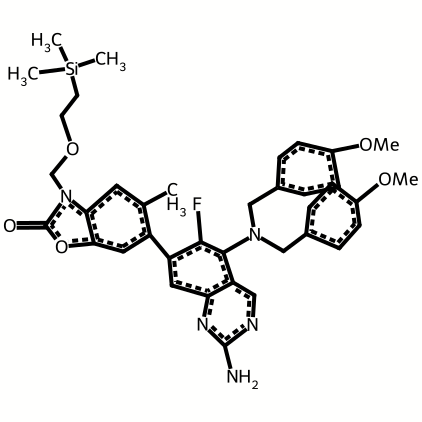 COc1ccc(CN(Cc2ccc(OC)cc2)c2c(F)c(-c3cc4oc(=O)n(COCC[Si](C)(C)C)c4cc3C)cc3nc(N)ncc23)cc1